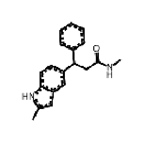 CNC(=O)CC(c1ccccc1)c1ccc2[nH]c(C)cc2c1